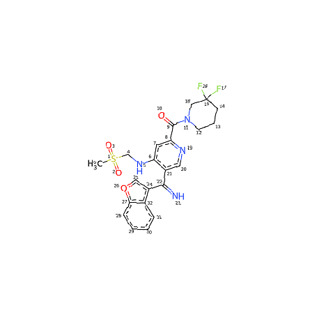 CS(=O)(=O)CNc1cc(C(=O)N2CCCC(F)(F)C2)ncc1C(=N)c1coc2ccccc12